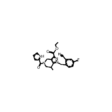 CCOC(=O)c1nn(Cc2ccc(F)cc2C#N)c2c1CN(C(=O)c1ccc[nH]1)CC2C